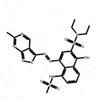 CCN(CC)S(=O)(=O)c1cc(/N=N/c2snc3nc(C)ncc23)c2c(NS(C)(=O)=O)cccc2c1O